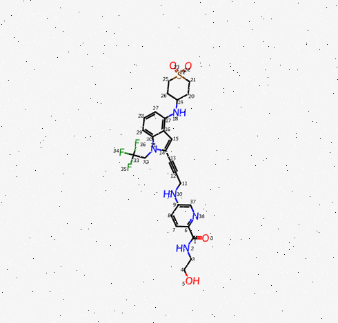 O=C(NCCO)c1ccc(NCC#Cc2cc3c(NC4CCS(=O)(=O)CC4)cccc3n2CC(F)(F)F)cn1